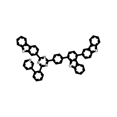 c1cncc(-c2ccccc2-c2nc(-c3ccc(-c4ccc(-c5ccc6oc7ccccc7c6c5)c5c4oc4ccccc45)cc3)nc(-c3ccc4c(c3)oc3ccccc34)n2)c1